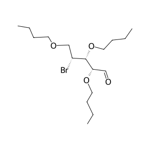 CCCCOC[C@@H](Br)[C@H](OCCCC)[C@H](C=O)OCCCC